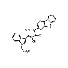 CON(C(=O)C(C#N)=Cc1cn(CC(=O)O)c2ccccc12)c1ccc2c(c1)oc1ccccc12